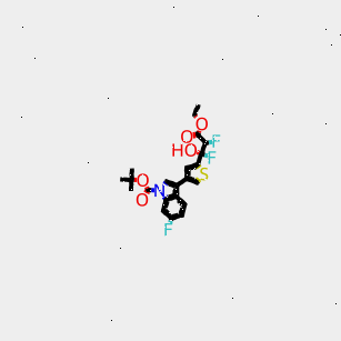 CCOC(=O)C(F)C(O)(F)c1cc(-c2cn(C(=O)OC(C)(C)C)c3cc(F)ccc23)cs1